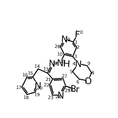 Fc1cc(N2CCOCC2)c(N/N=C(/Cc2ccccn2)c2ccnc(Br)c2)cn1